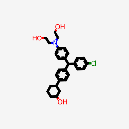 OCCN(CCO)c1ccc(C(c2ccc(Cl)cc2)c2ccc(C3CCCC(O)C3)cc2)cc1